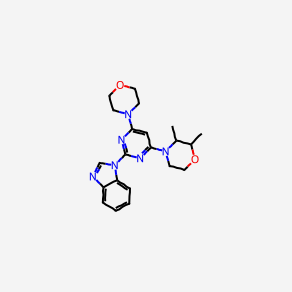 CC1OCCN(c2cc(N3CCOCC3)nc(-n3cnc4ccccc43)n2)C1C